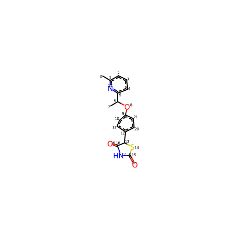 Cc1cccc(C(C)Oc2ccc(C3SC(=O)NC3=O)cc2)n1